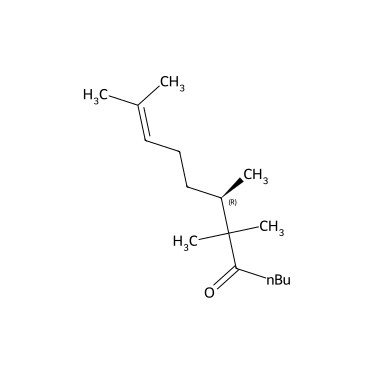 CCCCC(=O)C(C)(C)[C@H](C)CCC=C(C)C